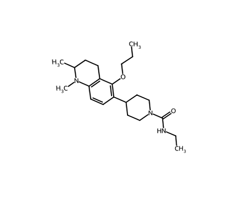 CCCOc1c(C2CCN(C(=O)NCC)CC2)ccc2c1CCC(C)N2C